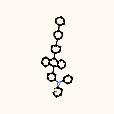 c1ccc(-c2ccc(-c3ccc(-c4c5ccccc5c(-c5cccc(N(c6ccccc6)c6ccccc6)c5)c5ccccc45)cc3)cc2)cc1